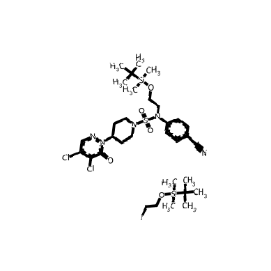 CC(C)(C)[Si](C)(C)OCCI.CC(C)(C)[Si](C)(C)OCCN(c1ccc(C#N)cc1)S(=O)(=O)N1CCC(n2ncc(Cl)c(Cl)c2=O)CC1